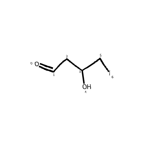 O=CCC(O)CI